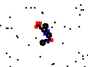 CN(Cc1ccccc1)C(=O)c1ccc2nc(-c3ccccc3)c(CCCCC(=O)O)nc2c1